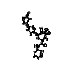 CN1[C@@H](C(=O)Nc2cccnc2)C[C@@H](c2ccc(-c3cnn(C)c3)s2)NS1(=O)=O